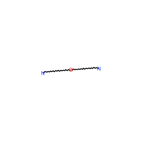 N#CCCCCCCCCCCCCCCCCCCCCOCCCCCCCCCCCCCCCCCCCCC#N